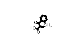 O=C(O)C1=C[SiH2]c2ccccc2C1=O